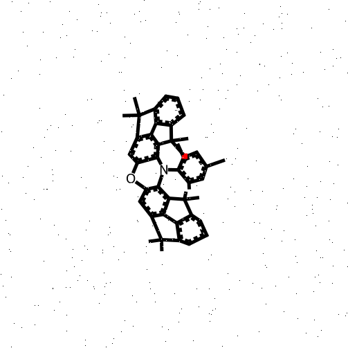 Cc1cc(C)c(N2c3c(cc4c5c3C(C)(C)c3cccc(c3-5)C4(C)C)Oc3cc4c5c(c32)C(C)(C)c2cccc(c2-5)C4(C)C)c(C)c1